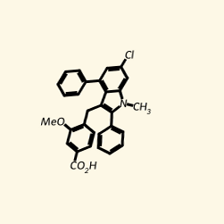 COc1cc(C(=O)O)ccc1Cc1c(-c2ccccc2)n(C)c2cc(Cl)cc(-c3ccccc3)c12